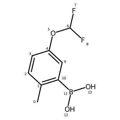 Cc1ccc(OC(F)F)cc1B(O)O